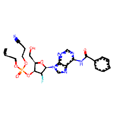 C=CCOP(=O)(OCCC#N)O[C@@H]1C(F)[C@H](n2cnc3c(NC(=O)c4ccccc4)ncnc32)O[C@@H]1CO